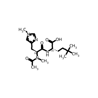 CC(=O)N(C)[C@@H](Cc1cn(C)cn1)C(=O)N[C@@H](CCC(C)(C)C)C(=O)O